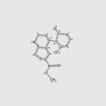 COC(=O)c1ccc2nccc(-c3c(Cl)cccc3Cl)c2c1